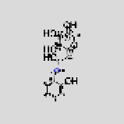 Oc1ccccc1/C=C/C(O)CC1OC[C@@H](O)[C@H](O)[C@H]1O